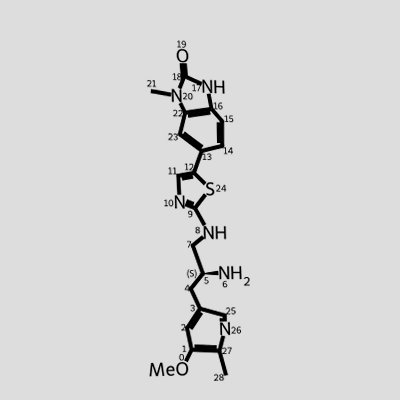 COc1cc(C[C@H](N)CNc2ncc(-c3ccc4[nH]c(=O)n(C)c4c3)s2)cnc1C